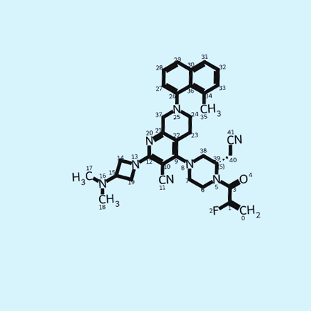 C=C(F)C(=O)N1CCN(c2c(C#N)c(N3CC(N(C)C)C3)nc3c2CCN(c2cccc4cccc(C)c24)C3)C[C@@H]1CC#N